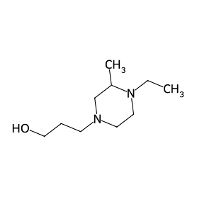 CCN1CCN(CCCO)CC1C